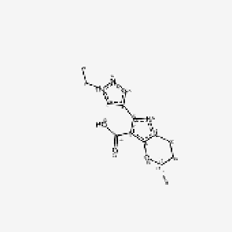 CCn1cc(-c2nn3c(c2C(=O)O)O[C@@H](C)CC3)cn1